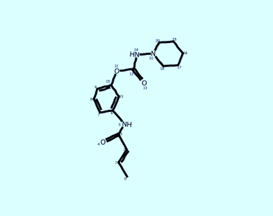 CC=CC(=O)Nc1cccc(OC(=O)NN2CCCCC2)c1